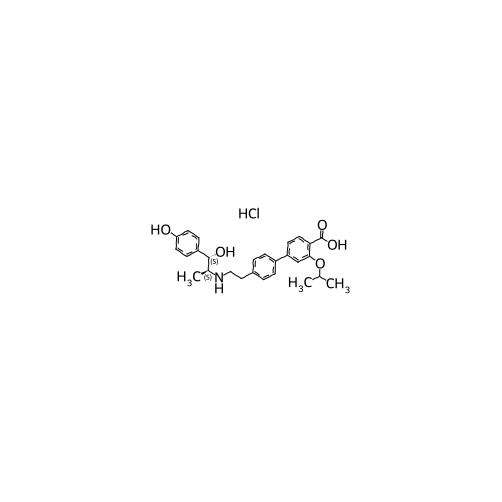 CC(C)Oc1cc(-c2ccc(CCN[C@@H](C)[C@@H](O)c3ccc(O)cc3)cc2)ccc1C(=O)O.Cl